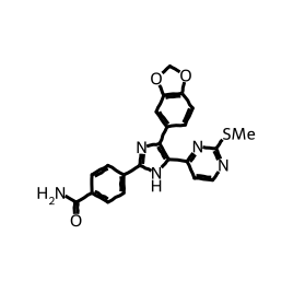 CSc1nccc(-c2[nH]c(-c3ccc(C(N)=O)cc3)nc2-c2ccc3c(c2)OCO3)n1